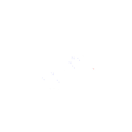 CCCc1nc(-n2cccc2)c(C=O)n1Cc1ccc(-c2ccccc2-c2nnnn2C(c2ccccc2)(c2ccccc2)c2ccccc2)cc1